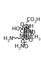 C[C@H](NC(=O)[C@H](CCC(N)=O)NC(=O)[C@@H](N)CCCCN)C(=O)NCC(=O)N[C@@H](CCC(=O)O)C(=O)N[C@@H](CO)C(=O)O